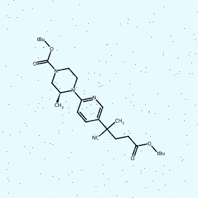 C[C@H]1CN(C(=O)OC(C)(C)C)CCN1c1ccc(C(C)(C#N)CCC(=O)OC(C)(C)C)cn1